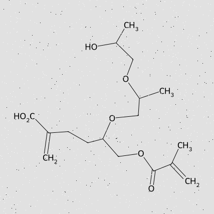 C=C(C)C(=O)OCC(CCC(=C)C(=O)O)OCC(C)OCC(C)O